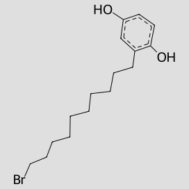 Oc1ccc(O)c(CCCCCCCCCCBr)c1